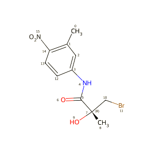 Cc1cc(NC(=O)[C@@](C)(O)CBr)ccc1[N+](=O)[O-]